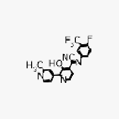 Cc1cc(-c2nccc(/C(C#N)=N/c3ccc(F)c(C(F)(F)F)c3)c2O)ccn1